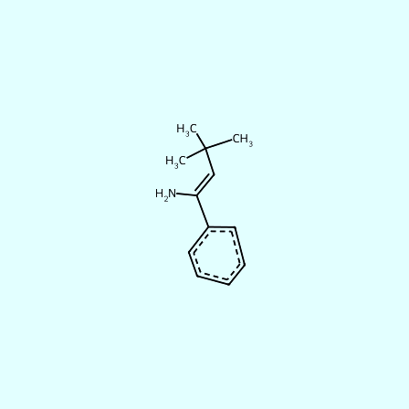 CC(C)(C)C=C(N)c1ccccc1